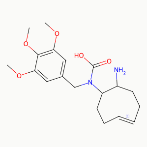 COc1cc(CN(C(=O)O)C2CC/C=C/CCC2N)cc(OC)c1OC